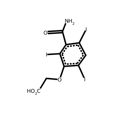 NC(=O)c1c(I)cc(I)c(OCC(=O)O)c1I